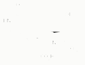 C[C@H]1C(S[C@@H]2CNC(=O)C2)=C(C(=O)O)N2C(=O)[C@H]([C@@H](C)O)C12